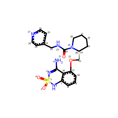 NC1=NS(=O)(=O)Nc2cccc(OC[C@H]3CCCCN3C(=O)NCc3ccncc3)c21